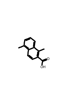 Cc1cccc2c(C)c(C(=O)O)ccc12